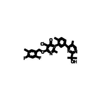 Cc1cc(COc2nc(C)n(-c3cc(-c4nc(C(C)(C)O)ncc4C)ccc3C)c(=O)c2Cl)c(F)cc1F